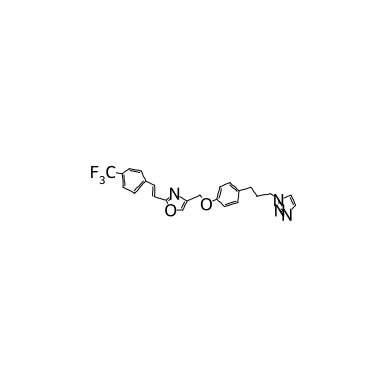 FC(F)(F)c1ccc(C=Cc2nc(COc3ccc(CCCn4ccnn4)cc3)co2)cc1